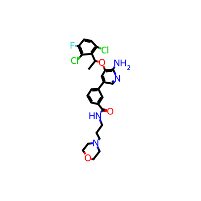 CC(Oc1cc(-c2cccc(C(=O)NCCCN3CCOCC3)c2)cnc1N)c1c(Cl)ccc(F)c1Cl